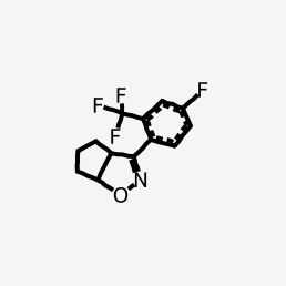 Fc1ccc(C2=NOC3CCCC23)c(C(F)(F)F)c1